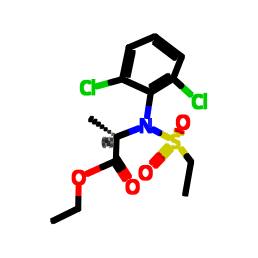 CCOC(=O)[C@H](C)N(c1c(Cl)cccc1Cl)S(=O)(=O)CC